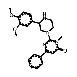 COc1ccc(C2CN(c3nc(-c4ccncc4)cc(=O)n3C)CCN2)cc1OC